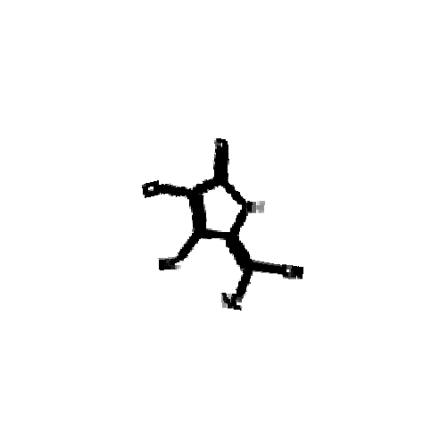 N#CC(C#N)=C1NC(=O)C(Cl)=C1C#N